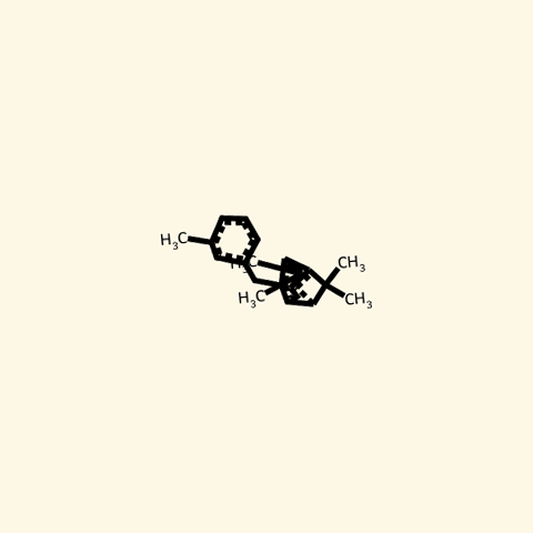 Cc1cccc(Cc2cc3c4c(c2C4(C)C)C3(C)C)c1